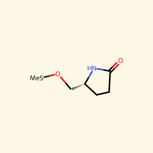 CSOC[C@H]1CCC(=O)N1